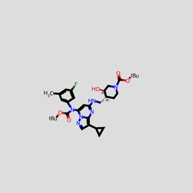 Cc1cc(F)cc(N(C(=O)OC(C)(C)C)c2cc(NC[C@H]3CCN(C(=O)OC(C)(C)C)C[C@@H]3O)nc3c(C4CC4)cnn23)c1